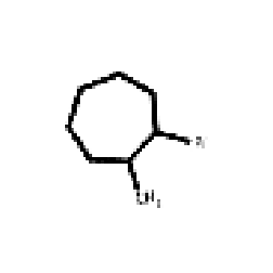 CC(C)C1CCCCCC1C